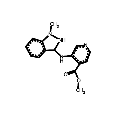 COC(=O)c1ccncc1NC1NN(C)c2ccccc21